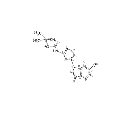 CC(C)(C)OC(=O)Nc1cccc(C2C=Nc3cnc(Cl)nc32)c1